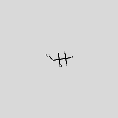 CCC(C)(ON)C(F)(F)F